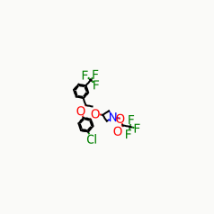 CC(Oc1ccc(Cl)cc1OC1CN(OC(=O)C(F)(F)F)C1)c1cccc(C(F)(F)F)c1